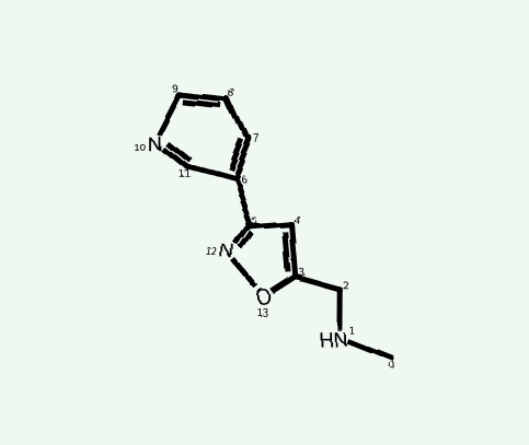 CNCc1cc(-c2cccnc2)no1